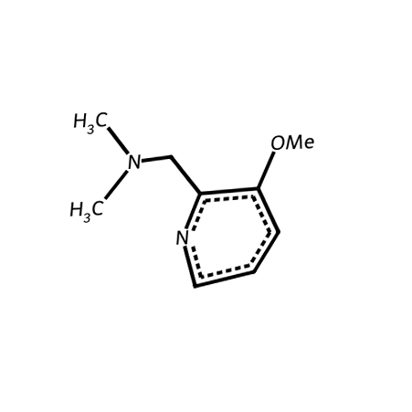 COc1cccnc1CN(C)C